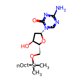 CCCCCCCC[Si](C)(C)OC[C@H]1O[C@@H](n2cnc(N)nc2=O)C[C@@H]1O